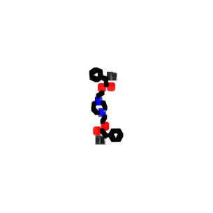 CCC(C(=O)OCCN1CCCN(CCOC(=O)C(CC)c2ccccc2)CC1)c1ccccc1